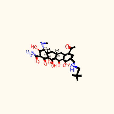 CC(=O)c1cc(CNCC(C)(C)C)c(O)c2c1C[C@H]1C[C@H]3[C@H](N(C)C)C(O)C(C(N)=O)C(=O)[C@@]3(O)C(O)=C1C2=O